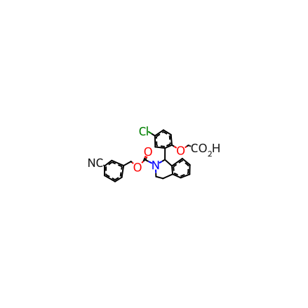 N#Cc1cccc(COC(=O)N2CCc3ccccc3C2c2cc(Cl)ccc2OCC(=O)O)c1